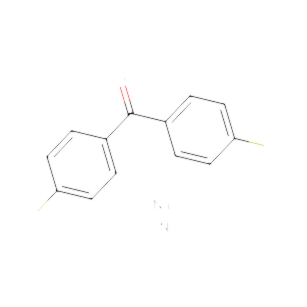 O=C(c1ccc([S-])cc1)c1ccc([S-])cc1.[Na+].[Na+]